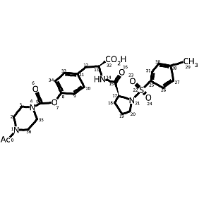 CC(=O)N1CCN(C(=O)Oc2ccc(C[C@H](NC(=O)[C@@H]3CCCN3S(=O)(=O)c3ccc(C)cc3)C(=O)O)cc2)CC1